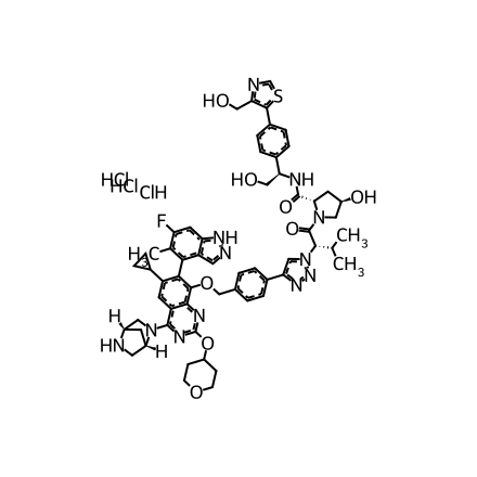 Cc1c(F)cc2[nH]ncc2c1-c1c(C2CC2)cc2c(N3C[C@@H]4C[C@H]3CN4)nc(OC3CCOCC3)nc2c1OCc1ccc(-c2cn([C@H](C(=O)N3C[C@H](O)C[C@H]3C(=O)N[C@@H](CO)c3ccc(-c4scnc4CO)cc3)C(C)C)nn2)cc1.Cl.Cl.Cl